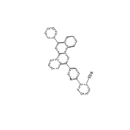 N#Cc1cccnc1-c1ccc(-c2cc3c4ccccc4c(-c4ccccc4)cc3c3ccccc23)cn1